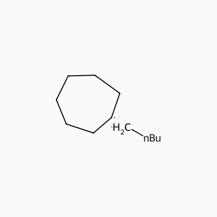 [CH2]CCCC.[CH]1CCCCCC1